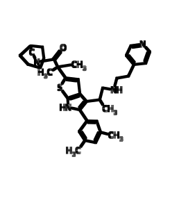 Cc1cc(C)cc(-c2[nH]c3sc(C(C)(C)C(=O)N4CC5CCC4CC5)cc3c2C(C)CNCCc2ccncc2)c1